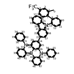 Cc1cc(C(F)(F)F)ccc1-c1ccccc1-n1c2ccccc2c2cc(-c3cc4c5c(c3)N(c3ccccc3)c3ccccc3B5c3ccccc3N4c3ccccc3)ccc21